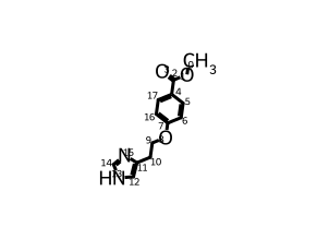 COC(=O)c1ccc(OCCc2c[nH]cn2)cc1